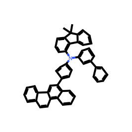 CC1(C)c2ccccc2-c2c(N(c3ccc(-c4cc5c6ccccc6ccc5c5ccccc45)cc3)c3cccc(-c4ccccc4)c3)cccc21